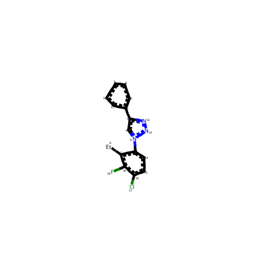 CCc1c(-n2cc(-c3ccccc3)nn2)ccc(Cl)c1F